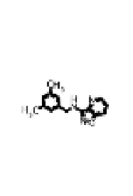 Cc1cc(C)cc(CNc2noc3cccnc23)c1